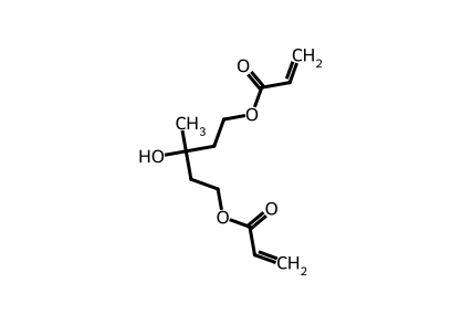 C=CC(=O)OCCC(C)(O)CCOC(=O)C=C